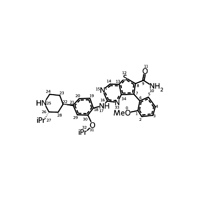 COc1ccccc1-c1c(C(N)=O)sc2cnc(Nc3ccc([C@@H]4CCN[C@@H](C(C)C)C4)cc3OC(C)C)nc12